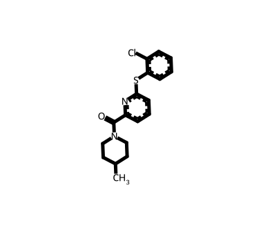 CC1CCN(C(=O)c2cccc(Sc3ccccc3Cl)n2)CC1